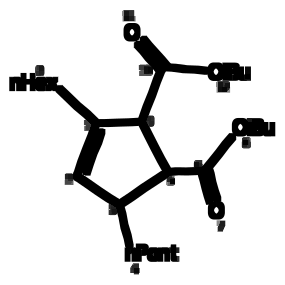 CCCCCCC1=CC(CCCCC)C(C(=O)OCC(C)C)C1C(=O)OCC(C)C